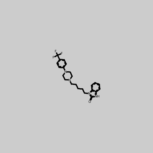 O=c1[nH]c2ccccc2n1CCCCCN1CCN(c2ccc(C(F)(F)F)cc2)CC1